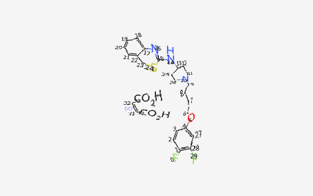 Fc1ccc(OCCCCN2CCC(NC3=Nc4ccccc4CS3)CC2)cc1F.O=C(O)/C=C\C(=O)O